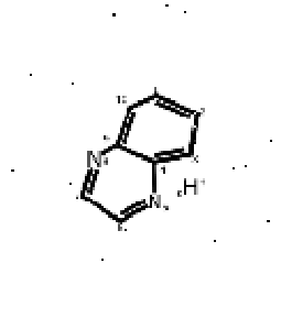 [H+].c1ccc2nccnc2c1